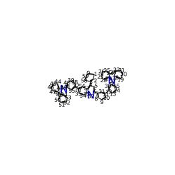 c1ccc(-c2cc(-c3cccc(-c4cccc(-n5c6ccccc6c6ccccc65)c4)c3)nc3ccc(-c4cccc(-n5c6ccccc6c6ccccc65)c4)cc23)cc1